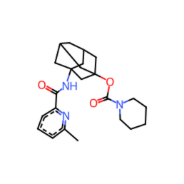 Cc1cccc(C(=O)NC23CC4CC(C2)CC(OC(=O)N2CCCCC2)(C4)C3)n1